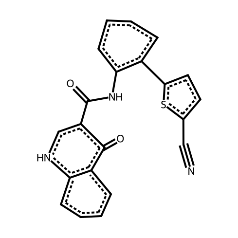 N#Cc1ccc(-c2ccccc2NC(=O)c2c[nH]c3ccccc3c2=O)s1